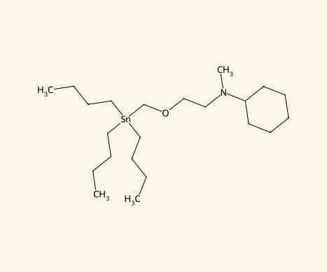 CCC[CH2][Sn]([CH2]CCC)([CH2]CCC)[CH2]OCCN(C)C1CCCCC1